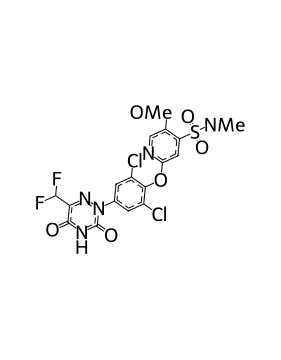 CNS(=O)(=O)c1cc(Oc2c(Cl)cc(-n3nc(C(F)F)c(=O)[nH]c3=O)cc2Cl)ncc1OC